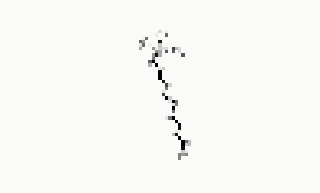 C[Si](C)(Cl)CCCCCCCCCCF